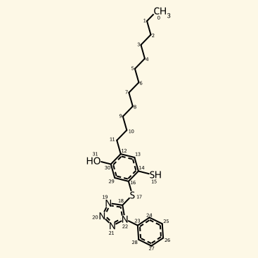 CCCCCCCCCCCCc1cc(S)c(Sc2nnnn2-c2ccccc2)cc1O